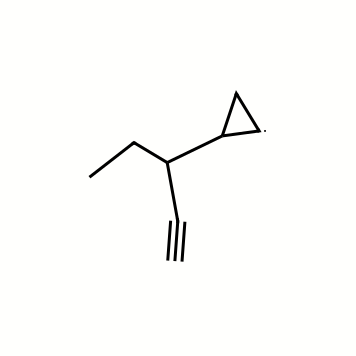 C#CC(CC)C1[CH]C1